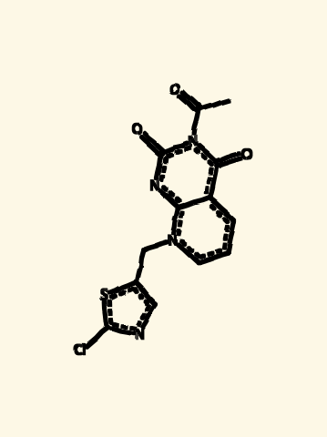 CC(=O)n1c(=O)nc2n(Cc3cnc(Cl)s3)cccc-2c1=O